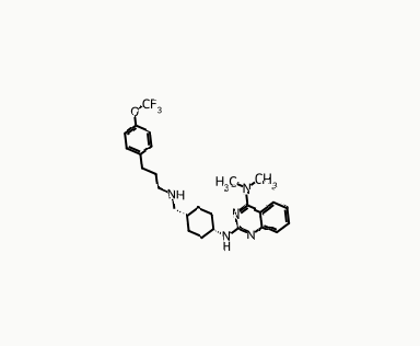 CN(C)c1nc(N[C@H]2CC[C@@H](CNCCCc3ccc(OC(F)(F)F)cc3)CC2)nc2ccccc12